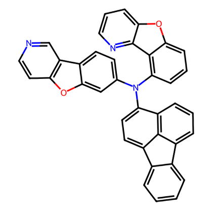 c1ccc2c(c1)-c1cccc3c(N(c4ccc5c(c4)oc4ccncc45)c4cccc5oc6cccnc6c45)ccc-2c13